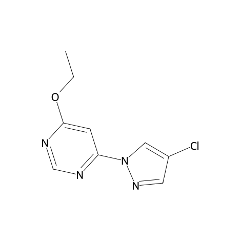 CCOc1cc(-n2cc(Cl)cn2)ncn1